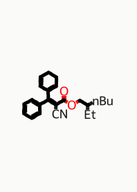 CCCCC(CC)COC(=O)/C(C#N)=C(\C1=CCCC=C1)c1ccccc1